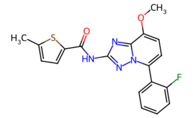 COc1ccc(-c2ccccc2F)n2nc(NC(=O)c3ccc(C)s3)nc12